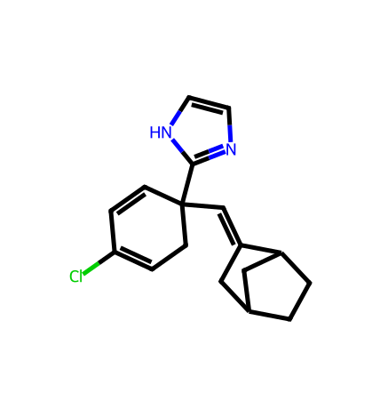 ClC1=CCC(C=C2CC3CCC2C3)(c2ncc[nH]2)C=C1